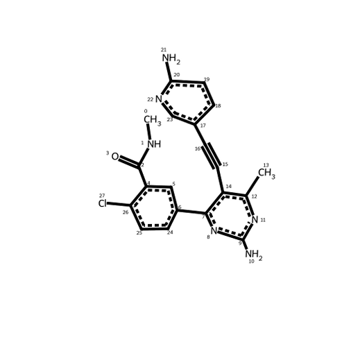 CNC(=O)c1cc(-c2nc(N)nc(C)c2C#Cc2ccc(N)nc2)ccc1Cl